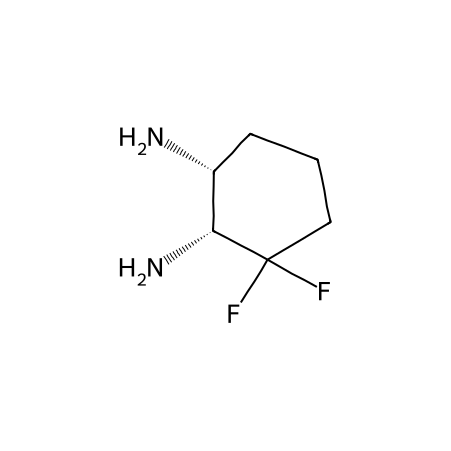 N[C@@H]1CCCC(F)(F)[C@@H]1N